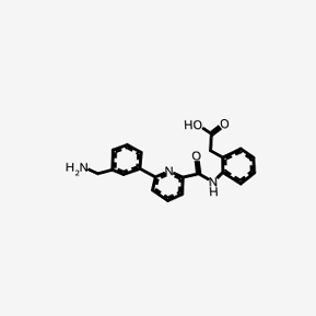 NCc1cccc(-c2cccc(C(=O)Nc3ccccc3CC(=O)O)n2)c1